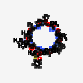 C/C=C/C[C@@H](C)[C@@H](O)[C@@H]1C(=O)N[C@@H](C(C)OC(=S)Oc2ccccc2)C(=O)N(C)CC(=O)N(C)[C@](C=O)(CC(C)C)N[C@H](CC(C)C)C(=O)N(C)[C@H](CC(C)C)C(=O)NC(=O)[C@H](C)OC(=O)N(CCC(C)C)C(=O)[C@@H](CC(C)C)N[C@H](CC(C)C)C(=O)N(C)[C@H](C(C)C)C(=O)N1C